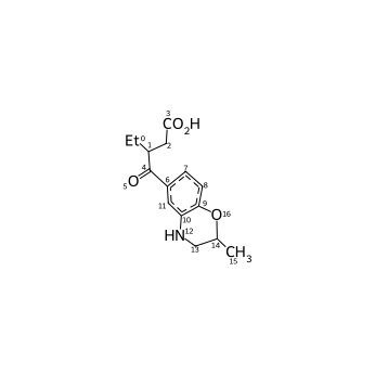 CCC(CC(=O)O)C(=O)c1ccc2c(c1)NCC(C)O2